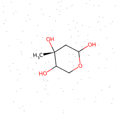 C[C@@]1(O)CC(O)OCC1O